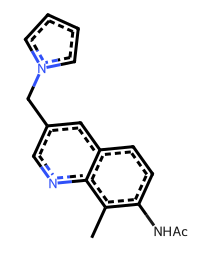 CC(=O)Nc1ccc2cc(Cn3cccc3)cnc2c1C